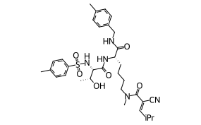 Cc1ccc(CNC(=O)[C@H](CCCCN(C)C(=O)C(C#N)=CC(C)C)NC(=O)[C@@H](NS(=O)(=O)c2ccc(C)cc2)[C@@H](C)O)cc1